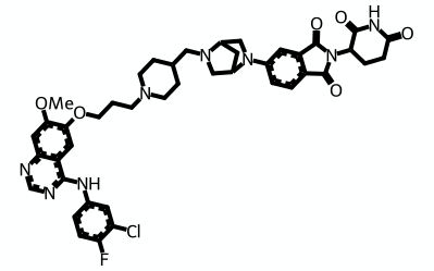 COc1cc2ncnc(Nc3ccc(F)c(Cl)c3)c2cc1OCCCN1CCC(CN2CC3CC2CN3c2ccc3c(c2)C(=O)N(C2CCC(=O)NC2=O)C3=O)CC1